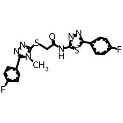 Cn1c(SCC(=O)Nc2nnc(-c3ccc(F)cc3)s2)nnc1-c1ccc(F)cc1